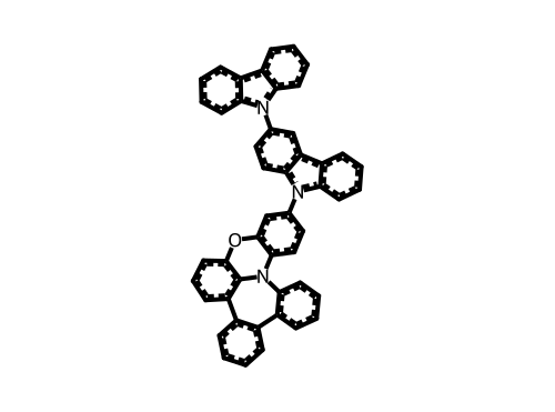 c1ccc2c(c1)-c1ccccc1N1c3ccc(-n4c5ccccc5c5cc(-n6c7ccccc7c7ccccc76)ccc54)cc3Oc3cccc-2c31